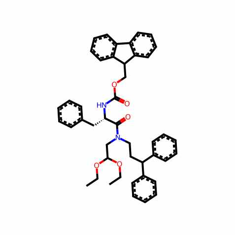 CCOC(CN(CCC(c1ccccc1)c1ccccc1)C(=O)[C@H](Cc1ccccc1)NC(=O)OCC1c2ccccc2-c2ccccc21)OCC